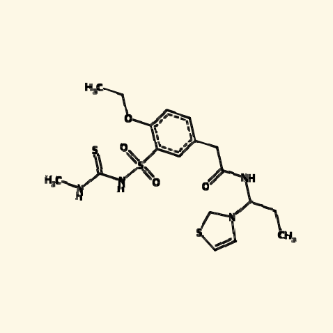 CCOc1ccc(CC(=O)NC(CC)N2C=CSC2)cc1S(=O)(=O)NC(=S)NC